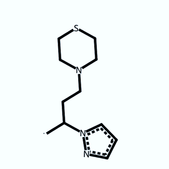 [CH2]C(CCN1CCSCC1)n1cccn1